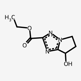 CCOC(=O)c1nc2n(n1)CCC2O